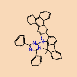 CC1(C)c2ccccc2-c2ccc3c4cc5c6ccccc6c6ccccc6c5cc4n(-c4nc(-c5ccccc5)nc(-c5ccccc5)n4)c3c21